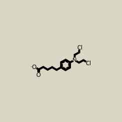 [O]C(=O)CCCCc1ccc(N(CCCl)CCCl)cc1